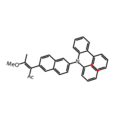 CO/C(C)=C(\C(C)=O)c1ccc2cc(N(c3ccccc3)c3ccccc3-c3ccccc3)ccc2c1